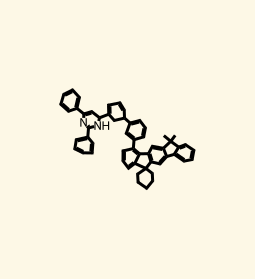 CC1(C)c2ccccc2-c2cc3c(cc21)-c1c(-c2cccc(C4C=CC=C(C5C=C(c6ccccc6)N=C(c6ccccc6)N5)C4)c2)cccc1C31CCCCC1